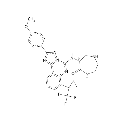 COc1ccc(-c2nc3c4cccc(C5(C(F)(F)F)CC5)c4nc(N[C@@H]4CNCCNC4=O)n3n2)cc1